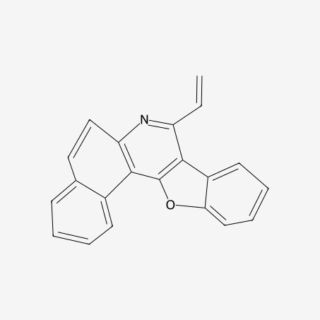 C=Cc1nc2ccc3ccccc3c2c2oc3ccccc3c12